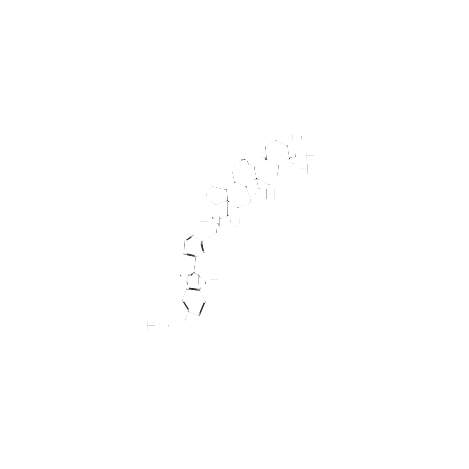 CC1(C)C(O)CCC2(C)C1CCC1(C)C3CCC4(C(=O)NCc5cccc(-c6nc7cc(C(=O)O)ccc7[nH]6)c5)CCCC4C3CCC12